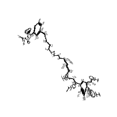 CN(C)S(=O)(=O)c1cccc(CCCCOCCCCCCNC[C@H](O)c2ccc(O)c(CO)c2)c1